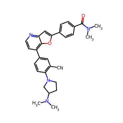 CN(C)C(=O)c1ccc(-c2cc3nccc(-c4ccc(N5CCC(N(C)C)C5)c(C#N)c4)c3o2)cc1